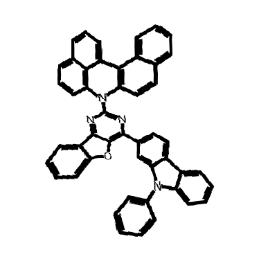 c1ccc(-n2c3ccccc3c3ccc(-c4nc(N5c6ccc7ccccc7c6-c6cccc7cccc5c67)nc5c4oc4ccccc45)cc32)cc1